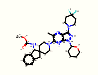 Cc1nc2c(N3CCC(F)(F)CC3)nn(C3CCCCO3)c2nc1N1CCC2(CC1)Cc1ccccc1[C@H]2NC(=O)OC(C)(C)C